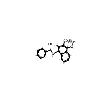 CCCOc1c(C(=O)OCC)c(C(=O)OCC)c(OCc2ccccc2)c2ccccc12